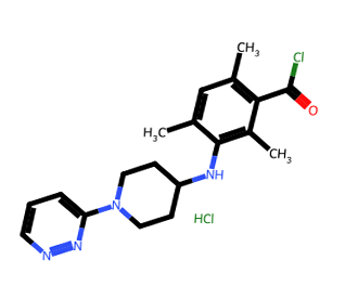 Cc1cc(C)c(C(=O)Cl)c(C)c1NC1CCN(c2cccnn2)CC1.Cl